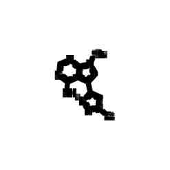 CCn1cc(-c2cn(C(C)(C)C)c3ncnc(N)c23)nn1